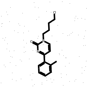 Cc1ccccc1-c1ccn(CCCCCl)c(=O)n1